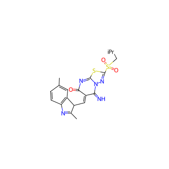 CC1=Nc2ccc(C)cc2C1/C=C1/C(=N)N2N=C(S(=O)(=O)CC(C)C)SC2=NC1=O